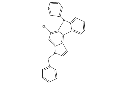 Clc1cc2c(ccn2Cc2ccccc2)c2c3ccccc3n(-c3ccccc3)c12